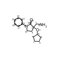 NCC1(OC2CCCC2)CCN(c2ccccc2)C1=O